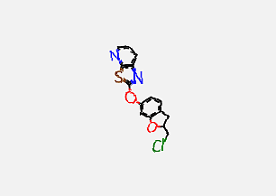 ClCC1Cc2ccc(Oc3nc4cccnc4s3)cc2O1